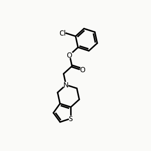 O=C(CN1CCc2sccc2C1)Oc1ccccc1Cl